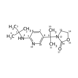 CC(C)(C)Nc1ccc(C(C)(C)N2CCOC2=O)cn1